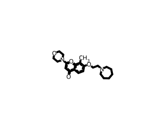 Cc1c(OCCN2CCCCCC2)ccc2c(=O)cc(N3CCOCC3)oc12